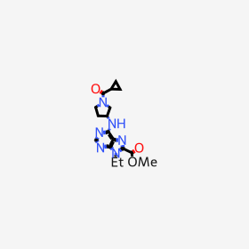 CCn1c(C(=O)OC)nc2c(NC3CCN(C(=O)C4CC4)C3)ncnc21